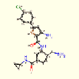 NCc1ccc(C(=O)NC2CC2)cc1NC(=O)c1sc(-c2ccc(Cl)cc2)cc1N